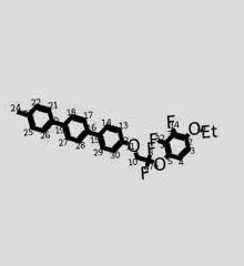 CCOc1ccc(OC(F)(F)COc2ccc(-c3ccc(-c4ccc(C)cc4)cc3)cc2)c(F)c1F